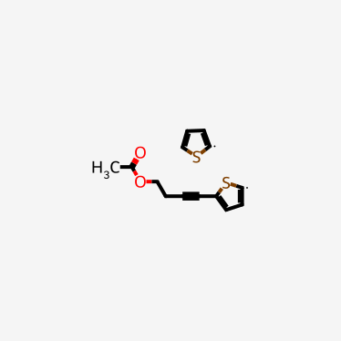 CC(=O)OCCC#Cc1cc[c]s1.[c]1cccs1